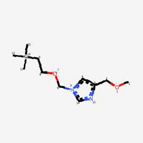 COCc1cn(COCC[Si](C)(C)C)cn1